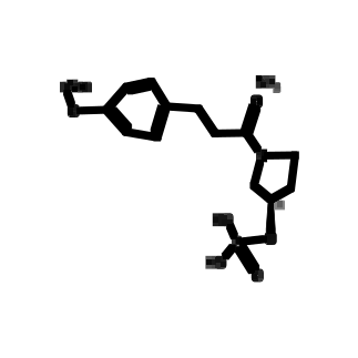 CCCCCCCCCOc1ccc(CCC(=O)N2CC[C@@H](OP(=O)(O)O)C2)cc1.N